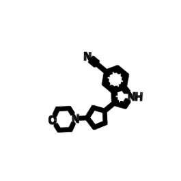 N#Cc1ccc2[nH]cc(C3CCC(N4CCOCC4)C3)c2c1